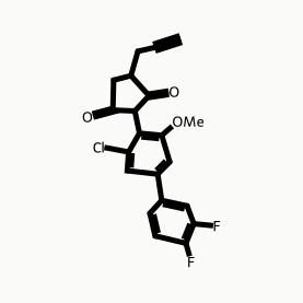 C#CCC1CC(=O)C(c2c(Cl)cc(-c3ccc(F)c(F)c3)cc2OC)C1=O